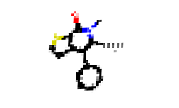 CCOC(=O)c1c(-c2ccccc2)c2ccsc2c(=O)n1C